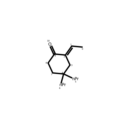 CC=C1CC(CCC)(CCC)CCC1=O